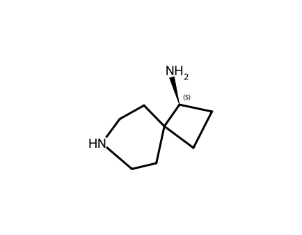 N[C@H]1CCC12CCNCC2